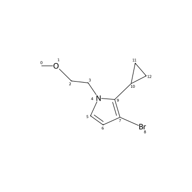 COCCn1ccc(Br)c1C1CC1